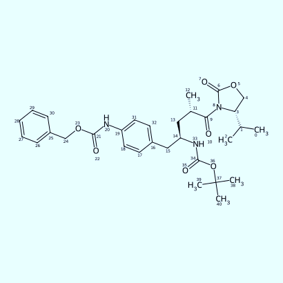 CC(C)[C@H]1COC(=O)N1C(=O)[C@@H](C)C[C@H](Cc1ccc(NC(=O)OCc2ccccc2)cc1)NC(=O)OC(C)(C)C